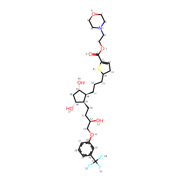 O=C(OCCN1CCOCC1)C1=CCC(CCC[C@H]2[C@@H](CC[C@@H](O)COc3cccc(C(F)(F)F)c3)[C@H](O)C[C@@H]2O)S1